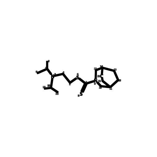 CC(C)N(CCSC(=S)N1CC2CCC(CC2)C1)C(C)C